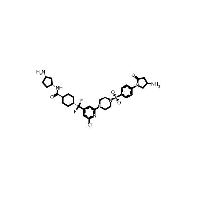 N[C@@H]1CC(=O)N(c2ccc(S(=O)(=O)N3CCN(c4cc(C(F)(F)[C@H]5CC[C@H](C(=O)N[C@@H]6CC[C@H](N)C6)CC5)cc(Cl)n4)CC3)cc2)C1